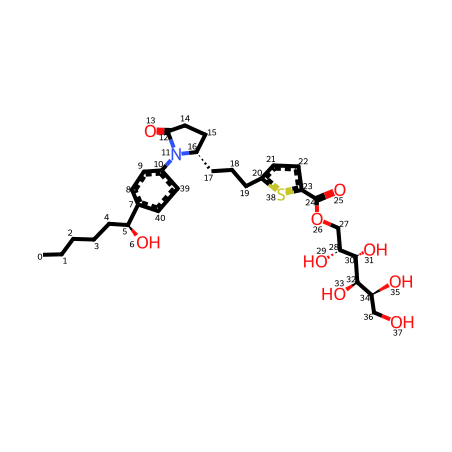 CCCCC[C@H](O)c1ccc(N2C(=O)CC[C@@H]2CCCc2ccc(C(=O)OC[C@@H](O)[C@H](O)[C@H](O)[C@@H](O)CO)s2)cc1